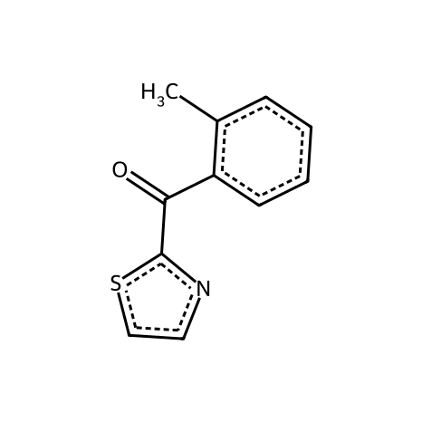 Cc1ccccc1C(=O)c1nccs1